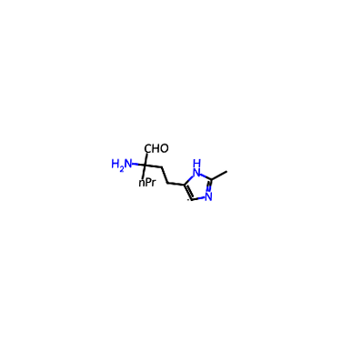 CCCC(N)(C=O)CCc1[c]nc(C)[nH]1